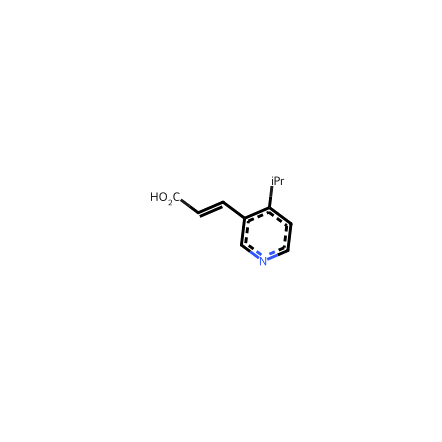 CC(C)c1ccncc1C=CC(=O)O